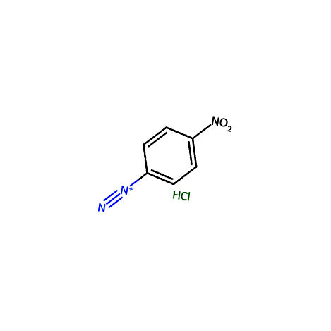 Cl.N#[N+]c1ccc([N+](=O)[O-])cc1